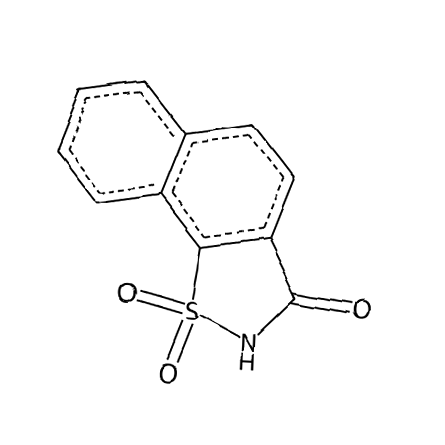 O=C1NS(=O)(=O)c2c1ccc1ccccc21